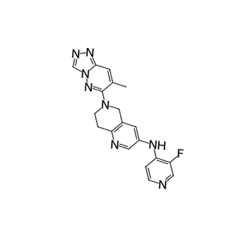 Cc1cc2nncn2nc1N1CCc2ncc(Nc3ccncc3F)cc2C1